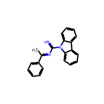 C/C(=N\C(=N)n1c2ccccc2c2ccccc21)c1ccccc1